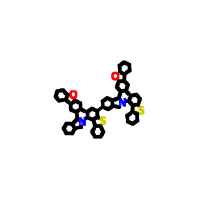 c1ccc2c(c1)cn1c2c2cc3c(cc2c2cc(-c4ccc5c(c4)cn4c5c5cc6oc7ccccc7c6cc5c5ccc6sc7ccccc7c6c54)c4sc5ccccc5c4c21)oc1ccccc13